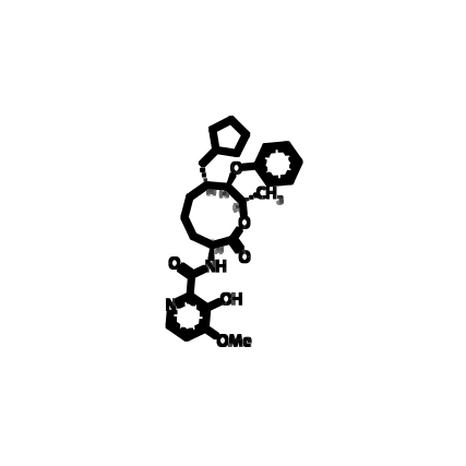 COc1ccnc(C(=O)N[C@H]2CCC[C@H](CC3CCCC3)[C@@H](Oc3ccccc3)[C@H](C)OC2=O)c1O